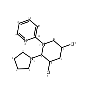 ClC1CC(Cl)C(N2CCCC2)N(c2ccccn2)C1